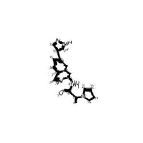 CC(C(=O)Nc1cc2cc(-c3cn[nH]c3)ccc2cn1)N1CCCC1